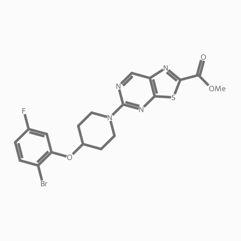 COC(=O)c1nc2cnc(N3CCC(Oc4cc(F)ccc4Br)CC3)nc2s1